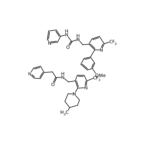 CC1CCN(c2nc(C(F)(F)F)ccc2CNC(=O)Cc2ccncc2)CC1.COc1cccc(-c2nc(C(F)(F)F)ccc2CNC(=O)Nc2cccnc2)c1